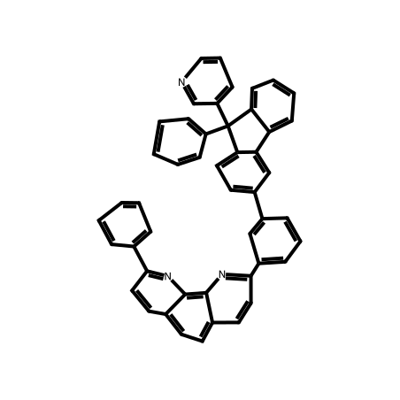 c1ccc(-c2ccc3ccc4ccc(-c5cccc(-c6ccc7c(c6)-c6ccccc6C7(c6ccccc6)c6cccnc6)c5)nc4c3n2)cc1